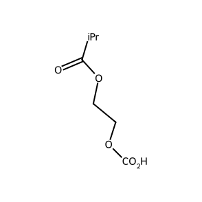 CC(C)C(=O)OCCOC(=O)O